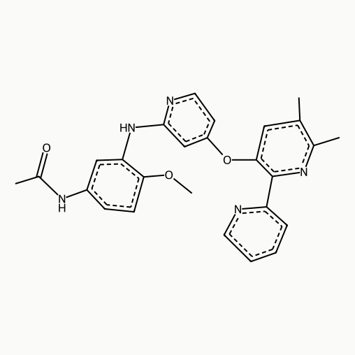 COc1ccc(NC(C)=O)cc1Nc1cc(Oc2cc(C)c(C)nc2-c2ccccn2)ccn1